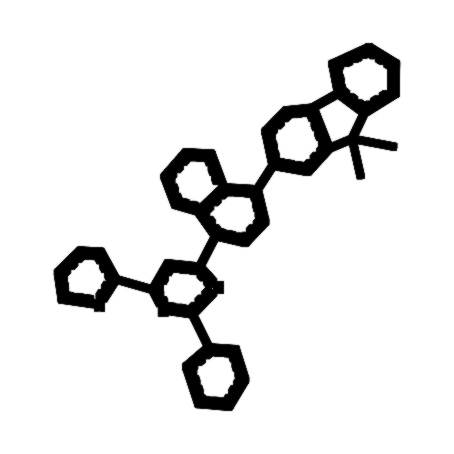 CC1(C)c2ccccc2-c2ccc(-c3ccc(-c4cc(-c5ccccn5)nc(-c5ccccc5)n4)c4ccccc34)cc21